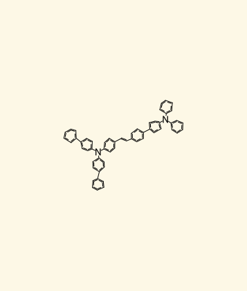 C(=Cc1ccc(N(c2ccc(-c3ccccc3)cc2)c2ccc(-c3ccccc3)cc2)cc1)c1ccc(-c2ccc(N(c3ccccc3)c3ccccc3)cc2)cc1